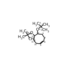 CC(C)(C)OC1CC/C=C\CCC1OC(C)(C)C